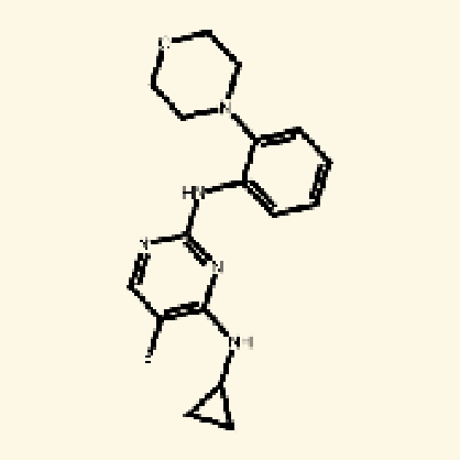 Fc1cnc(Nc2ccccc2N2CCOCC2)nc1NC1CC1